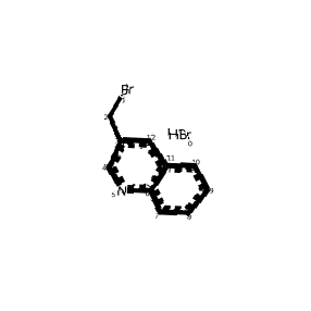 Br.BrCc1cnc2ccccc2c1